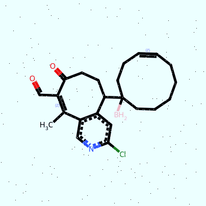 BC1(C2CCC(=O)/C(C=O)=C(/C)c3cnc(Cl)cc32)CC/C=C\CCCCC1